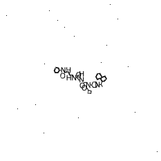 CC(c1cccc2ccccc12)N1CCC(N(CC(=O)NCC(=O)NC/C=C/C(=O)Nc2ccccc2)C(=O)C2CCC2)CC1